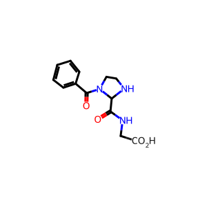 O=C(O)CNC(=O)C1NCCN1C(=O)c1ccccc1